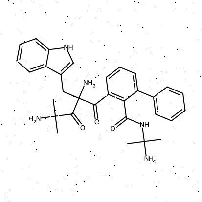 CC(C)(N)NC(=O)c1c(C(=O)C(N)(Cc2c[nH]c3ccccc23)C(=O)C(C)(C)N)cccc1-c1ccccc1